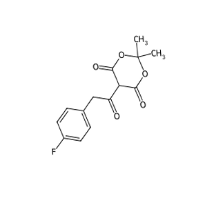 CC1(C)OC(=O)C(C(=O)Cc2ccc(F)cc2)C(=O)O1